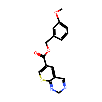 COc1cccc(COC(=O)C2=CSC3=NCN=CC3=C2)c1